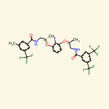 Cc1cc(C(=O)NC[C@H](C)Oc2cccc(O[C@@H](C)CNC(=O)c3cc(C(F)(F)F)cc(C(F)(F)F)c3)c2I)cc(C(F)(F)F)c1